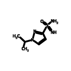 CC(C)n1ccc(S(=N)(N)=O)n1